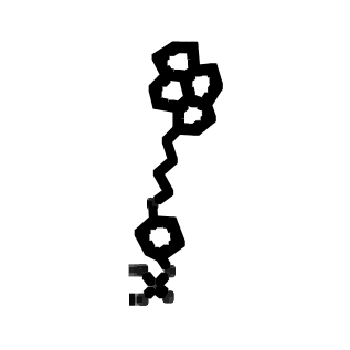 O=P(O)(O)Oc1ccc(OCCCCc2ccc3ccc4cccc5ccc2c3c45)cc1